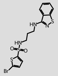 O=S(=O)(NCCCNc1nsc2ccccc12)c1ccc(Br)s1